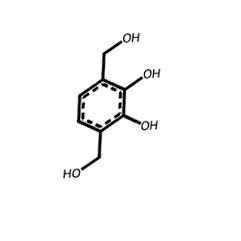 OCc1ccc(CO)c(O)c1O